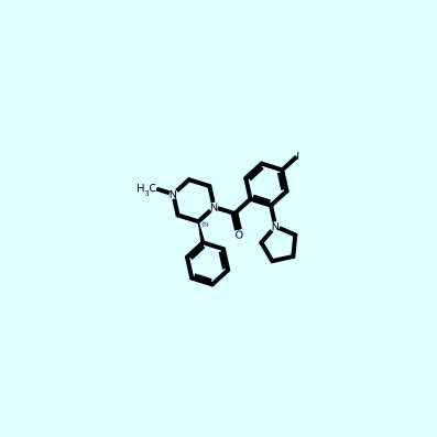 CN1CCN(C(=O)c2ccc(I)cc2N2CCCC2)[C@@H](c2ccccc2)C1